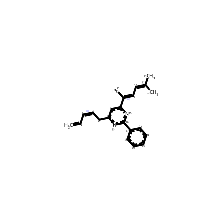 C=C/C=C\Cc1cc(/C(=C/C=C(C)C)C(C)C)nc(-c2ccccc2)n1